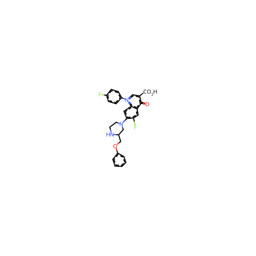 O=C(O)c1cn(-c2ccc(F)cc2)c2cc(N3CCNC(COc4ccccc4)C3)c(F)cc2c1=O